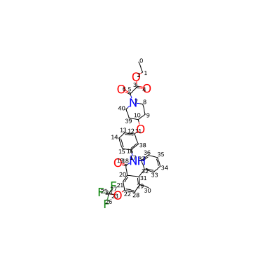 CCOC(=O)C(=O)N1CCC(Oc2cccc(NC(=O)c3cc(OC(F)(F)F)cc(C)c3-c3ccccc3)c2)CC1